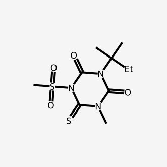 CCC(C)(C)n1c(=O)n(C)c(=S)n(S(C)(=O)=O)c1=O